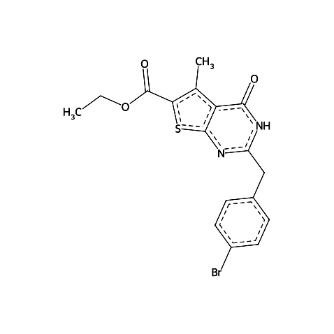 CCOC(=O)c1sc2nc(Cc3ccc(Br)cc3)[nH]c(=O)c2c1C